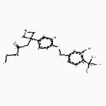 CCOC(=O)CC1(c2ccc(OCc3ccc(C(F)(F)F)c(F)c3)cc2)COC1